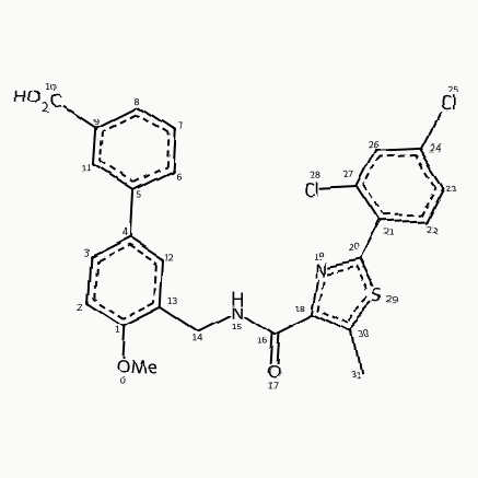 COc1ccc(-c2cccc(C(=O)O)c2)cc1CNC(=O)c1nc(-c2ccc(Cl)cc2Cl)sc1C